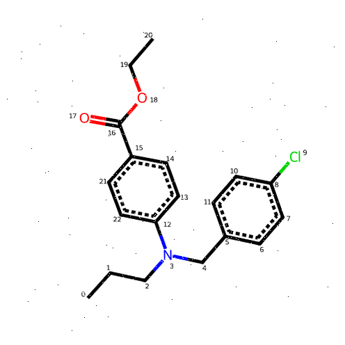 CCCN(Cc1ccc(Cl)cc1)c1ccc(C(=O)OCC)cc1